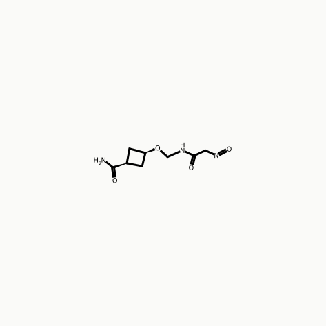 NC(=O)[C@H]1C[C@@H](OCNC(=O)CN=O)C1